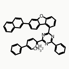 C=C(/C=C\C(=C/C)c1ccccc1)c1nc(-c2ccccc2)nc(-c2cccc3oc4cc(-c5ccc6ccccc6c5)ccc4c23)n1